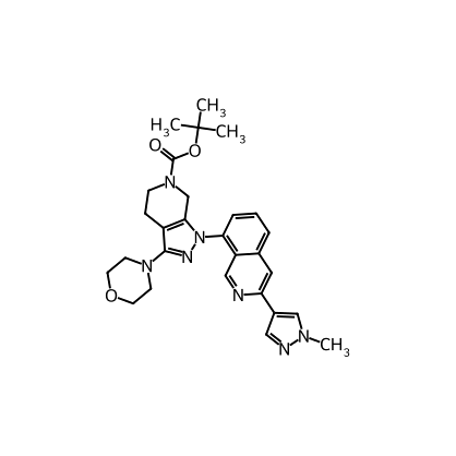 Cn1cc(-c2cc3cccc(-n4nc(N5CCOCC5)c5c4CN(C(=O)OC(C)(C)C)CC5)c3cn2)cn1